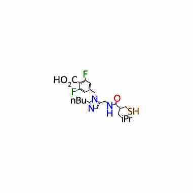 CCCCc1ncc(CNC(=O)C(CS)CC(C)C)n1Cc1cc(F)c(C(=O)O)c(F)c1